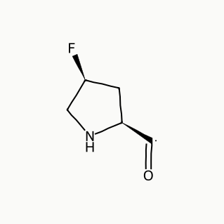 O=[C][C@@H]1C[C@H](F)CN1